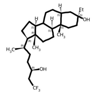 CC[C@]1(O)CC[C@@]2(C)[C@@H](CCC3[C@@H]2CC[C@]2(C)[C@@H]([C@H](C)CC[C@@H](O)CC(F)(F)F)CC[C@@H]32)C1